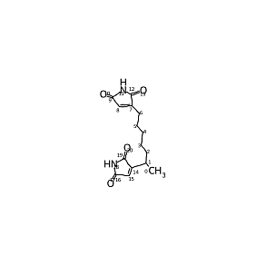 CC(CCCCCC1=CC(=O)NC1=O)C1=CC(=O)NC1=O